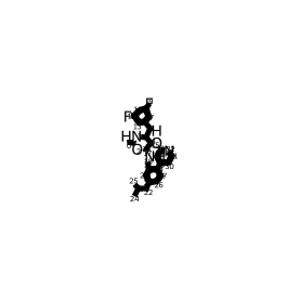 CC(=O)NC(Cc1cc(F)cc(F)c1)C(O)CNCc1cc(CC(C)C)ccc1-c1ccncc1